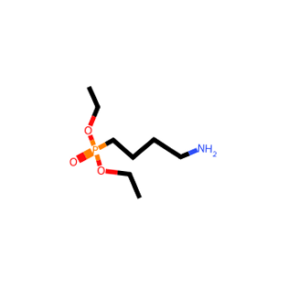 CCOP(=O)(CCCCN)OCC